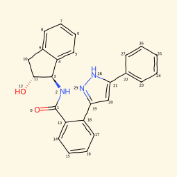 O=C(N[C@@H]1c2ccccc2C[C@H]1O)c1ccccc1-c1cc(-c2ccccc2)[nH]n1